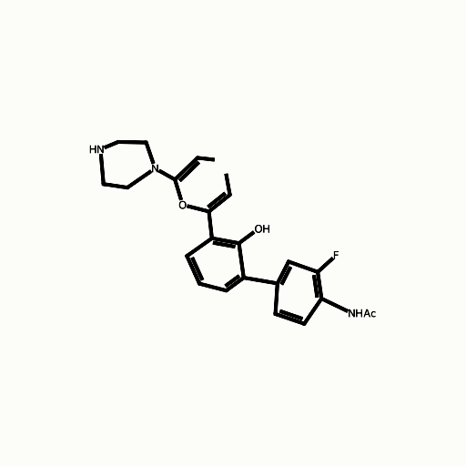 C/C=C(\O/C(=C\C)N1CCNCC1)c1cccc(-c2ccc(NC(C)=O)c(F)c2)c1O